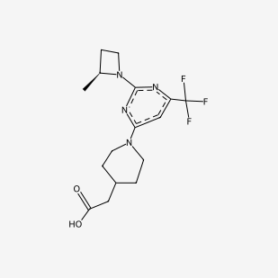 C[C@H]1CCN1c1nc(N2CCC(CC(=O)O)CC2)cc(C(F)(F)F)n1